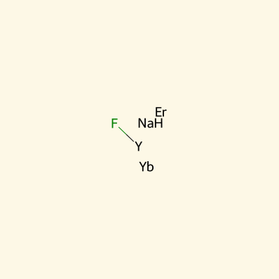 [Er].[F][Y].[NaH].[Yb]